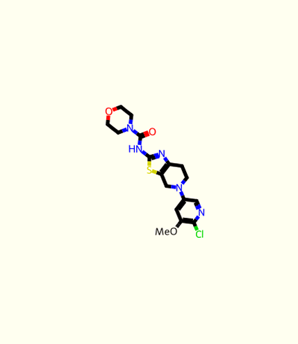 COc1cc(N2CCc3nc(NC(=O)N4CCOCC4)sc3C2)cnc1Cl